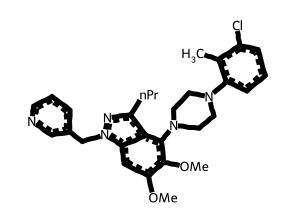 CCCc1nn(Cc2cccnc2)c2cc(OC)c(OC)c(N3CCN(c4cccc(Cl)c4C)CC3)c12